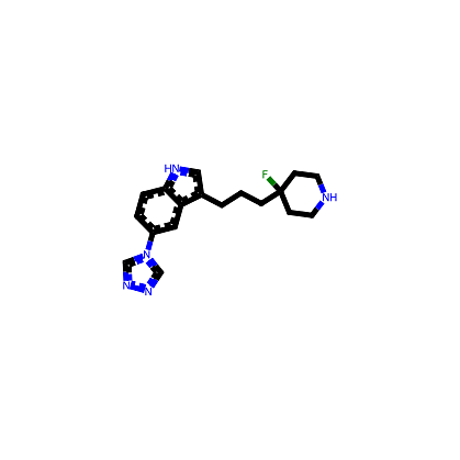 FC1(CCCc2c[nH]c3ccc(-n4cnnc4)cc23)CCNCC1